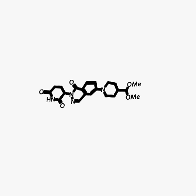 COC(OC)C1CCN(c2ccc3c(=O)n(C4CCC(=O)NC4=O)ncc3c2)CC1